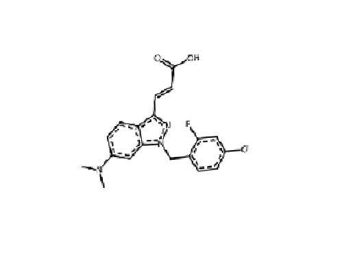 CN(C)c1ccc2c(/C=C/C(=O)O)nn(Cc3ccc(Cl)cc3F)c2c1